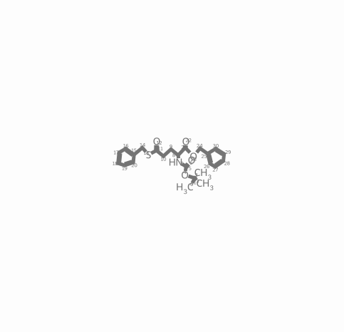 CC(C)(C)OC(=O)NC(CCC(=O)SCc1ccccc1)C(=O)OCc1ccccc1